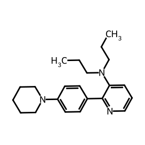 CCCN(CCC)c1cccnc1-c1ccc(N2CCCCC2)cc1